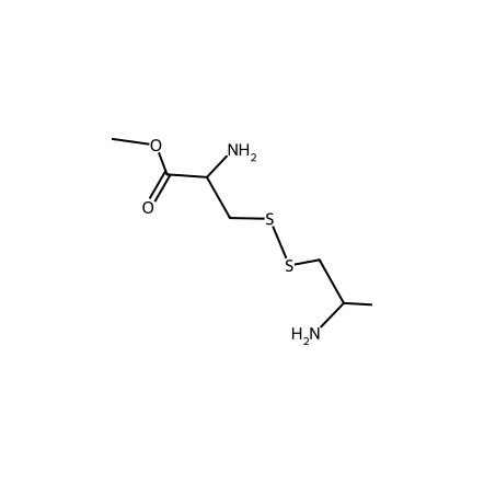 COC(=O)C(N)CSSCC(C)N